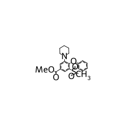 COC(=O)c1cc(N2CCCCC2)c(Oc2ccccc2)c(S(C)(=O)=O)c1